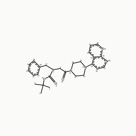 CC(C)(C)OC(=O)N(CC(=O)N1CCN(c2ncnc3ncccc23)CC1)Cc1ccccc1